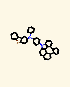 c1ccc(N(c2ccc(-n3c4cccc5c4c4c6c(cccc6ccc43)-c3ccccc3-5)cc2)c2ccc3sc4ccccc4c3c2)cc1